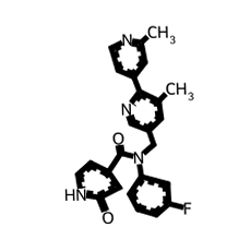 Cc1cc(-c2ncc(CN(C(=O)c3cc[nH]c(=O)c3)c3cccc(F)c3)cc2C)ccn1